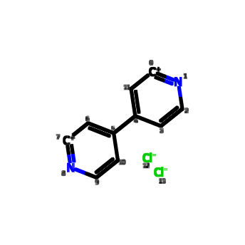 [C+]1=NC=CC(C2=C[C+]=NC=C2)=C1.[Cl-].[Cl-]